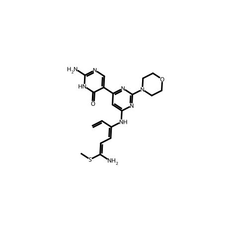 C=C/C(=C\C=C(/N)SC)Nc1cc(-c2cnc(N)[nH]c2=O)nc(N2CCOCC2)n1